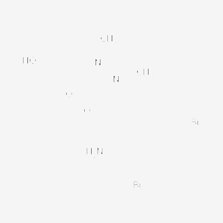 CN(C(=O)CO)N(C)C(=O)c1cc(Br)cc(Br)c1N